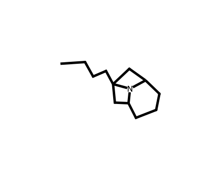 CCCCC12CC3CCCC(C1)N32